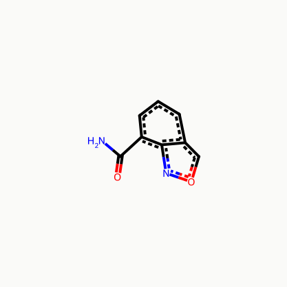 NC(=O)c1cccc2conc12